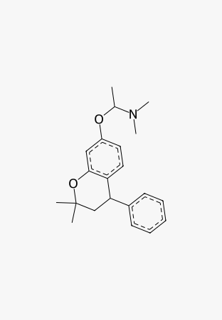 CC(Oc1ccc2c(c1)OC(C)(C)CC2c1ccccc1)N(C)C